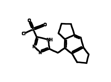 O=S(=O)(Cl)c1nnc(Cc2c3c(cc4c2CCC4)CCC3)[nH]1